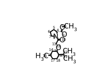 COC(=O)[C@H]1CCCN1C(=O)COC1CC(C)CCC1C(C)C